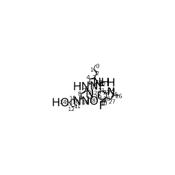 C/C=C/c1cc(Nc2cc(N3CCC(O)C3)nc(Oc3cc(F)c4[nH]c(C)cc4c3F)n2)n[nH]1